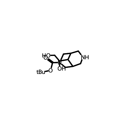 CC(C)(C)OC(=O)N1CC2CNCC(C1)C2C(O)CO